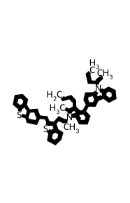 C=C/C=C\c1c(C)n(/C(C)=C/c2c(CC3=CC4c5ccccc5SC4C=C3)sc3ccccc23)c2cccc(-c3ccc4c(c3)c3ccccc3n4C(/C=C\C)=C/C)c12